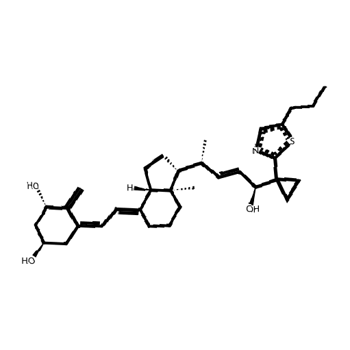 C=C1/C(=C\C=C2/CCC[C@]3(C)[C@@H]([C@H](C)/C=C/[C@H](O)C4(c5ncc(CCC)s5)CC4)CC[C@@H]23)C[C@@H](O)C[C@@H]1O